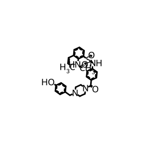 C/C=C\c1cccc(S(=O)(=O)Nc2ccc(C(=O)N3CCN(Cc4ccc(O)cc4)CC3)cc2)c1NC